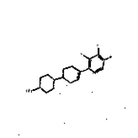 CCCC1CCC(C2CC=C(c3ccc(C)c(F)c3F)CC2)CC1